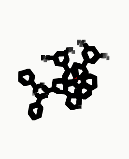 FC(F)(F)c1cc(-c2ccc3c(c2)c2ccccc2n3-c2ccc(-c3nc(-c4ccccc4)nc(-c4ccccc4)n3)cc2-c2ccncc2-n2c3ccccc3c3cc(-c4cc(C(F)(F)F)cc(C(F)(F)F)c4)ccc32)cc(C(F)(F)F)c1